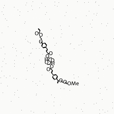 C=CC(=O)OCCOc1ccc(/C=C/C(=O)O[C@@H]2CO[C@@H]3C(OC(=O)/C=C/c4ccc(C(=C)OCOCOC)cc4)CO[C@@H]32)cc1